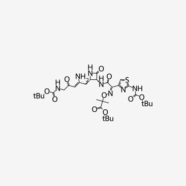 CC(C)(C)OC(=O)NCC(=O)C=C(N)C[C@H]1NC(=O)[C@H]1NC(=O)C(=NOC(C)(C)C(=O)OC(C)(C)C)c1csc(NC(=O)OC(C)(C)C)n1